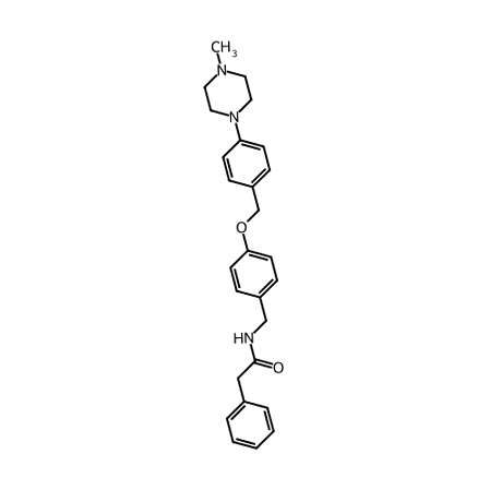 CN1CCN(c2ccc(COc3ccc(CNC(=O)Cc4ccccc4)cc3)cc2)CC1